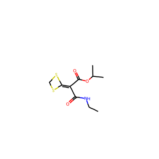 CCNC(=O)C(C(=O)OC(C)C)=C1SCS1